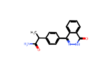 CC(C(N)=O)c1ccc(-c2n[nH]c(=O)c3ccccc23)cc1